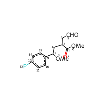 COC(=O)C(CC=O)CC(OC)c1ccc(F)cc1